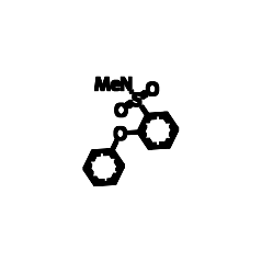 CNS(=O)(=O)c1ccccc1Oc1ccccc1